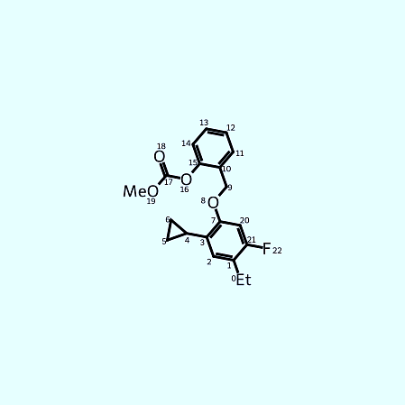 CCc1cc(C2CC2)c(OCc2ccccc2OC(=O)OC)cc1F